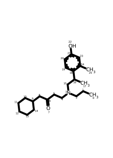 CCCN(CCC(=O)CC1CCCCC1)CC(C)c1ccc(O)cc1C